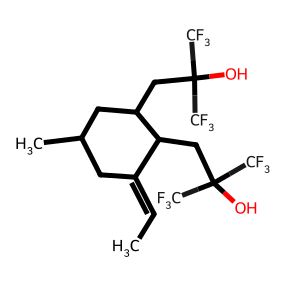 C/C=C1\CC(C)CC(CC(O)(C(F)(F)F)C(F)(F)F)C1CC(O)(C(F)(F)F)C(F)(F)F